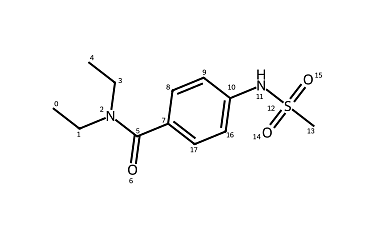 CCN(CC)C(=O)c1ccc(NS(C)(=O)=O)cc1